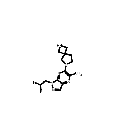 Cc1nc2cnn(CC(F)F)c2nc1N1CCC2(CNC2)C1